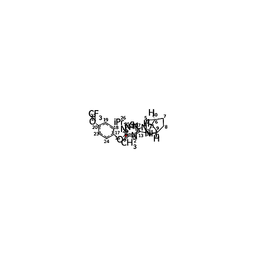 Cc1cc(N2C[C@H]3CC[C@@H](C2)[C@@H]3Nc2nc(Oc3ccc(OC(F)(F)F)cc3)n(C(C)C)n2)sn1